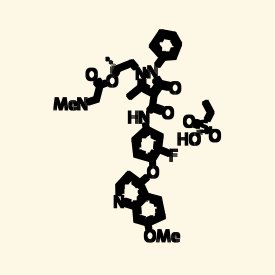 CCS(=O)(=O)O.CNCC(=O)O[C@H](C)Cn1c(C)c(C(=O)Nc2ccc(Oc3ccnc4cc(OC)ccc34)c(F)c2)c(=O)n1-c1ccccc1